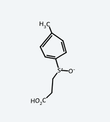 Cc1ccc([S+]([O-])CCC(=O)O)cc1